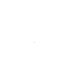 C1CCC2CC(NC3CC3)CCC2C1